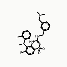 C[C@@H](c1ccccc1F)c1c(F)ccc2c1NC(NCc1cccc(CN(C)C)c1)=NS2(=O)=O